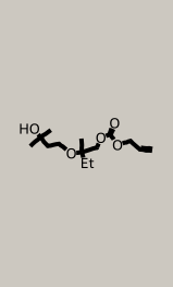 C=CCOC(=O)OCC(C)(CC)OCCC(C)(C)O